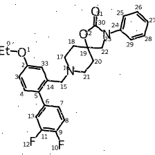 CCOc1ccc(-c2ccc(F)c(F)c2)c(CN2CCC3(CC2)CN(c2ccccc2)C(=O)O3)c1